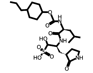 CCCC1CCC(OC(=O)N[C@@H](CC(C)C)C(=O)N[C@@H](C[C@@H]2CCNC2=O)C(O)S(=O)(=O)O)CC1